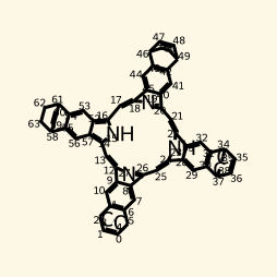 C1=CC2CCC1c1cc3c(cc12)-c1cc2[nH]c(cc4nc(cc5[nH]c(cc-3n1)c1cc3c(cc51)C1C=CC3CC1)-c1cc3c(cc1-4)C1C=CC3CC1)c1cc3c(cc21)C1C=CC3CC1